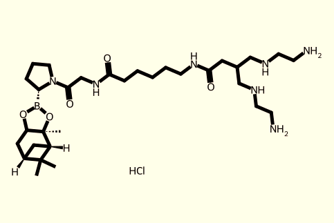 CC1(C)[C@@H]2CC3OB([C@@H]4CCCN4C(=O)CNC(=O)CCCCCNC(=O)CC(CNCCN)CNCCN)O[C@@]3(C)[C@H]1C2.Cl